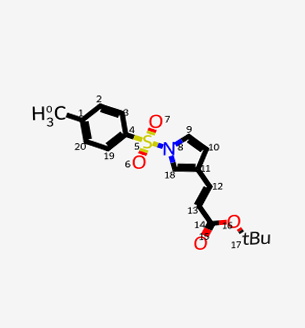 Cc1ccc(S(=O)(=O)n2ccc(C=CC(=O)OC(C)(C)C)c2)cc1